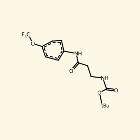 CC(C)(C)OC(=O)NCCC(=O)Nc1ccc(OC(F)(F)F)cc1